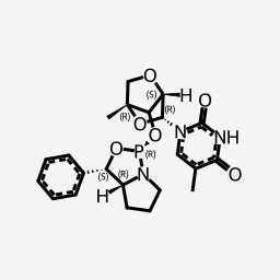 Cc1cn([C@@H]2O[C@]3(C)CO[C@H]2C3O[P@]2O[C@@H](c3ccccc3)[C@H]3CCCN32)c(=O)[nH]c1=O